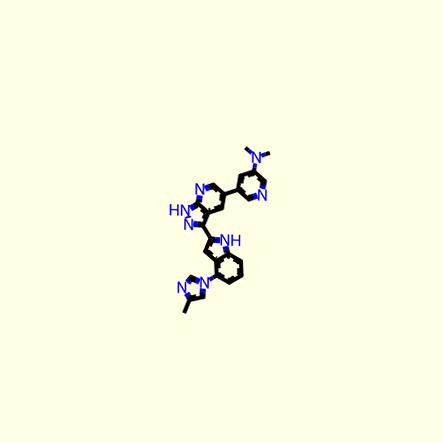 Cc1cn(-c2cccc3[nH]c(-c4n[nH]c5ncc(-c6cncc(N(C)C)c6)cc45)cc23)cn1